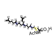 CC(=O)N[C@@H](CSC/C=C(\C)CC/C=C(\CC=C(C)C)CC/C=C(\C)CCC=C(C)C)C(=O)O